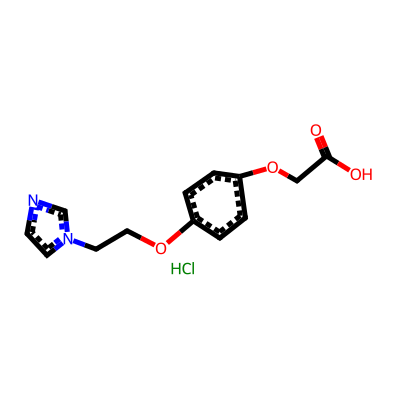 Cl.O=C(O)COc1ccc(OCCn2ccnc2)cc1